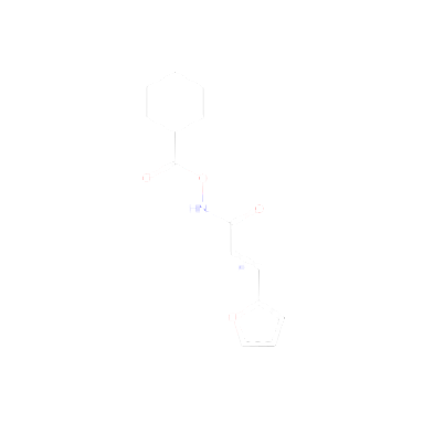 O=C(/C=C/c1ccco1)NOC(=O)C1CCCCC1